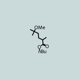 CCCCOC(=O)C(C)CCC(C)(C)OC